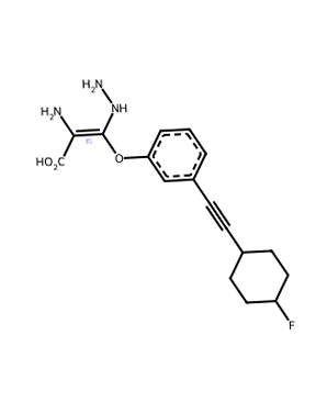 NN/C(Oc1cccc(C#CC2CCC(F)CC2)c1)=C(\N)C(=O)O